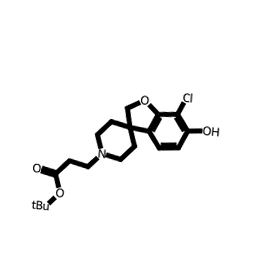 CC(C)(C)OC(=O)CCN1CCC2(CC1)COc1c2ccc(O)c1Cl